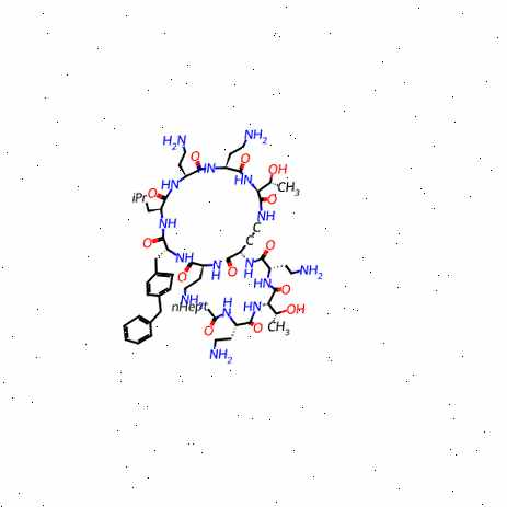 CCCCCCCC(=O)N[C@@H](CCN)C(=O)N[C@H](C(=O)N[C@@H](CCN)C(=O)N[C@H]1CCNC(=O)[C@H]([C@@H](C)O)NC(=O)[C@H](CCN)NC(=O)[C@H](CCN)NC(=O)[C@H](CC(C)C)NC(=O)[C@@H](Cc2ccc(Cc3ccccc3)cc2)NC(=O)[C@H](CCN)NC1=O)[C@@H](C)O